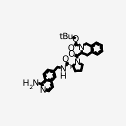 CC(C)(C)OC(=O)N1Cc2ccccc2CC1C(=O)N1CCC[C@@H]1C(=O)NCc1ccc2c(N)nccc2c1